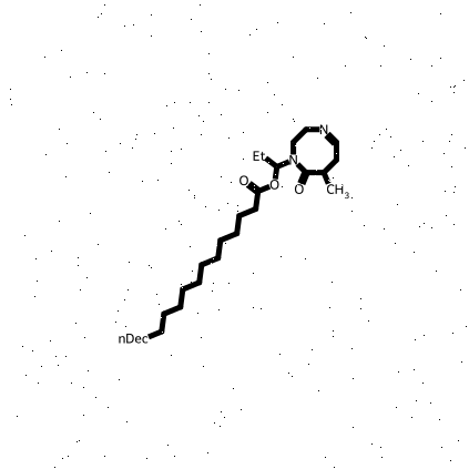 CCCCCCCCCCCCCCCCCCCCCC(=O)OC(CC)N1CC/N=C\CC(C)C1=O